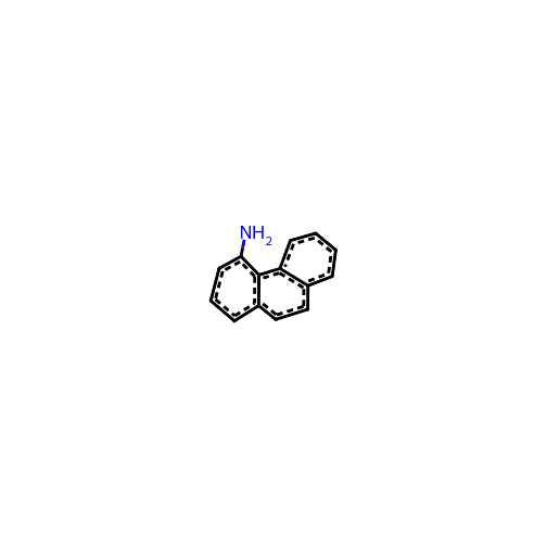 Nc1cccc2ccc3ccccc3c12